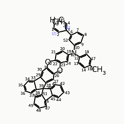 C/C=C\C(=C/C)c1cccc(N(c2ccc(C)cc2)c2ccc3c(c2)Oc2cc4c(cc2O3)-c2ccccc2C42c3ccccc3-c3ccccc32)c1